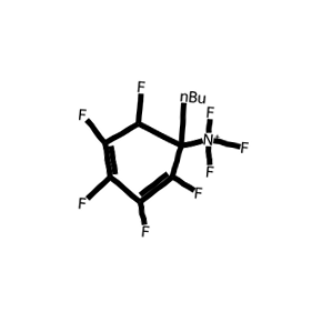 CCCCC1([N+](F)(F)F)C(F)=C(F)C(F)=C(F)C1F